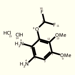 COc1cc(N)c(N)c(OC(F)F)c1OC.Cl.Cl